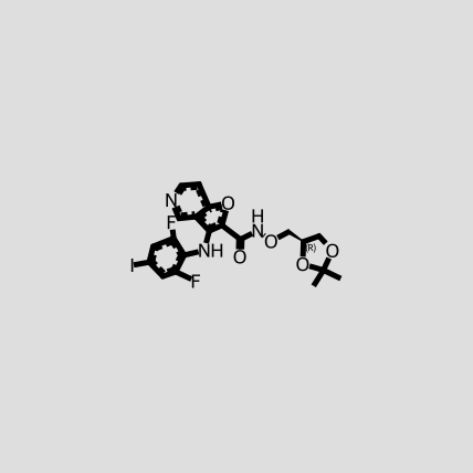 CC1(C)OC[C@H](CONC(=O)c2oc3ccncc3c2Nc2c(F)cc(I)cc2F)O1